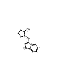 OC1CCCC1[Se]c1c[nH]c2ccccc12